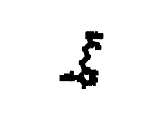 CCCCc1cnnn1CCCC(C)SC